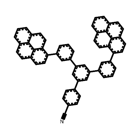 N#Cc1ccc(-c2cc(-c3cccc(-c4ccc5ccc6cccc7ccc4c5c67)c3)cc(-c3cccc(-c4ccc5ccc6cccc7ccc4c5c67)c3)c2)cc1